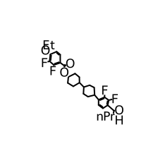 CCCC(O)c1ccc(C2CCC(C3CCC(OC(=O)c4ccc(OCC)c(F)c4F)CC3)CC2)c(F)c1F